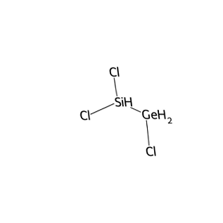 [Cl][GeH2][SiH](Cl)Cl